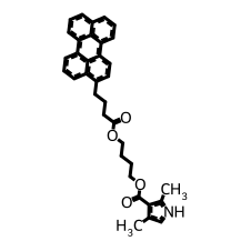 Cc1c[nH]c(C)c1C(=O)OCCCCOC(=O)CCCc1ccc2c3cccc4cccc(c5cccc1c52)c43